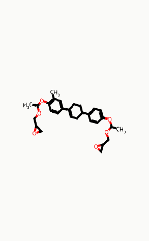 Cc1cc(C2=CCC(c3ccc(OC(C)OCC4CO4)cc3)CC2)ccc1OC(C)OCC1CO1